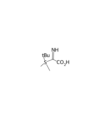 CC(C)(C)S(C)(C)C(=N)C(=O)O